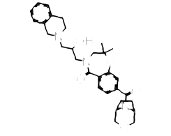 CC1(C)CN(CC(O)CN2CCc3ccccc3C2)C(=O)c2ccc(C(=O)N3C4CCC3COC4)cc2O1